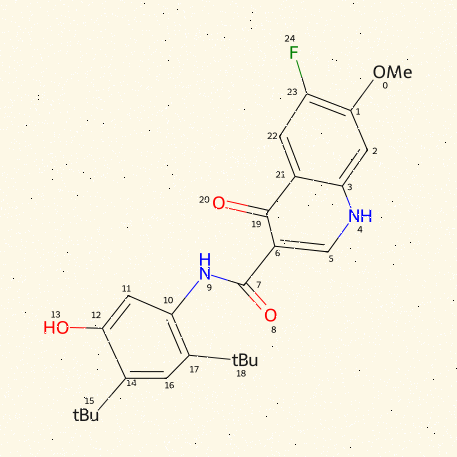 COc1cc2[nH]cc(C(=O)Nc3cc(O)c(C(C)(C)C)cc3C(C)(C)C)c(=O)c2cc1F